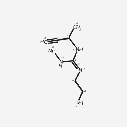 C#CC(C)N/C(=N/CCS)NC#N